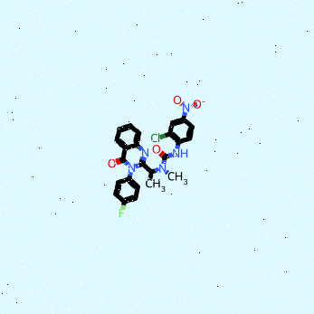 CC(c1nc2ccccc2c(=O)n1-c1ccc(F)cc1)N(C)C(=O)Nc1ccc([N+](=O)[O-])cc1Cl